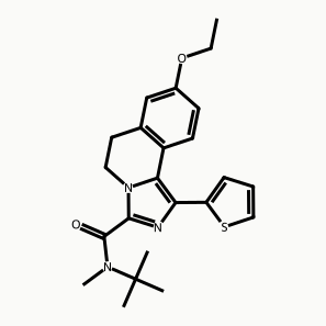 CCOc1ccc2c(c1)CCn1c(C(=O)N(C)C(C)(C)C)nc(-c3cccs3)c1-2